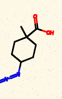 CC1(C(=O)O)CCC(N=[N+]=[N-])CC1